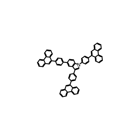 c1ccc2c(c1)cc(-c1ccc(-c3ccc4c(c3)c(-c3ccc(-c5cc6ccccc6c6ccccc56)cc3)cn4-c3ccc(-c4cc5ccccc5c5ccccc45)cc3)cc1)c1ccccc12